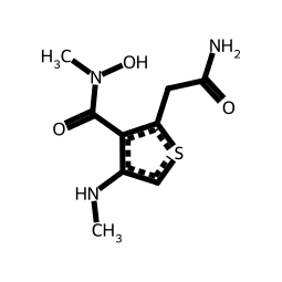 CNc1csc(CC(N)=O)c1C(=O)N(C)O